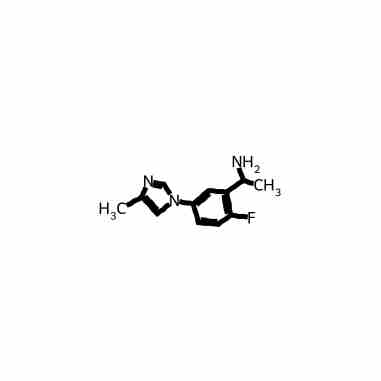 Cc1cn(-c2ccc(F)c(C(C)N)c2)cn1